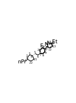 CCC[C@H]1CC[C@H](CCc2ccc(-c3ccc(CC)nn3)c(F)c2)CC1